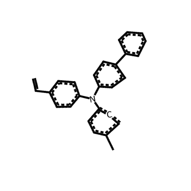 C=Cc1ccc(N(c2ccc(C)cc2)c2ccc(-c3ccccc3)cc2)cc1